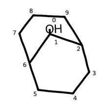 OC1C2CCCC1CCC2